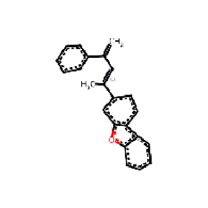 C=C(/C=C(\C)c1ccc2c(c1)oc1ccccc12)c1ccccc1